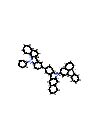 c1ccc(-n2c3ccc(-c4ccc5c(c4)c4cc6ccccc6cc4n5-c4cc5c6c(cccc6c4)-c4ccccc4-5)cc3c3ccc4ccccc4c32)cc1